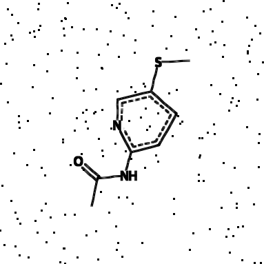 CSc1ccc(NC(C)=O)nc1